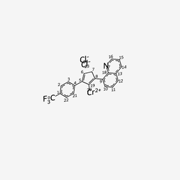 FC(F)(F)c1ccc(C2=CCC(c3cccc4cccnc34)=[C]2[Cr+2])cc1.[Cl-].[Cl-]